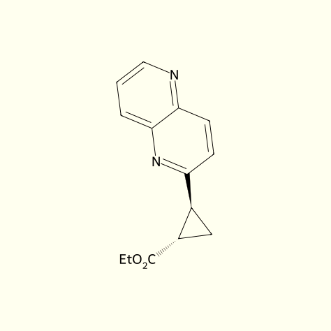 CCOC(=O)[C@H]1C[C@@H]1c1ccc2ncccc2n1